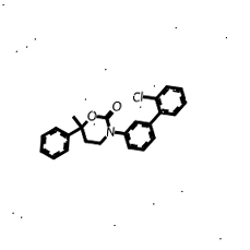 CC1(c2ccccc2)CCN(c2cccc(-c3ccccc3Cl)c2)C(=O)O1